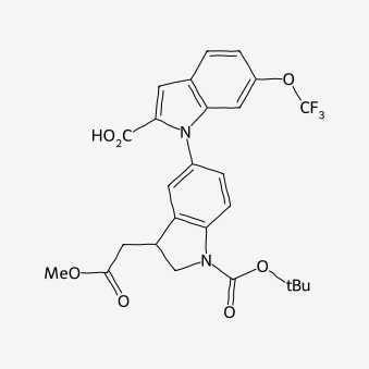 COC(=O)CC1CN(C(=O)OC(C)(C)C)c2ccc(-n3c(C(=O)O)cc4ccc(OC(F)(F)F)cc43)cc21